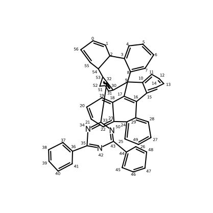 C1=CC2c3ccccc3C3(c4ccccc4-c4c3c3ccccc3c3ccccc43)c3cc(-c4nc(-c5ccccc5)nc(-c5ccccc5)n4)ccc3C2C=C1